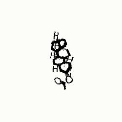 CC(=O)O[C@@H]1CC[C@@]2(C)[C@@H](CC[C@@H]3[C@@H]2CC[C@@]24C=CCC[C@H]2CC[C@@H]34)C1